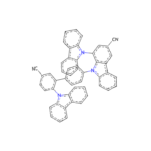 N#Cc1ccc(-n2c3ccccc3c3ccccc32)c(-c2ccc(-n3c4ccccc4c4cc(C#N)cc(-n5c6ccccc6c6ccccc65)c43)cc2)c1